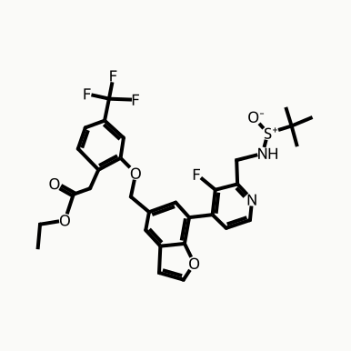 CCOC(=O)Cc1ccc(C(F)(F)F)cc1OCc1cc(-c2ccnc(CN[S+]([O-])C(C)(C)C)c2F)c2occc2c1